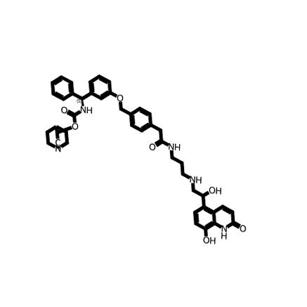 O=C(Cc1ccc(COc2cccc([C@@H](NC(=O)OC3CN4CCC3CC4)c3ccccc3)c2)cc1)NCCCNCC(O)c1ccc(O)c2[nH]c(=O)ccc12